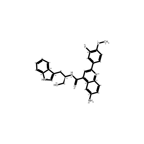 COc1ccc(-c2cc(C(=O)N[C@@H](CO)Cc3c[nH]c4ccccc34)c3cc(N)ccc3n2)cc1F